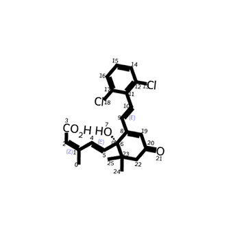 CC(=C/C(=O)O)/C=C/[C@@]1(O)C(/C=C/c2c(Cl)cccc2Cl)=CC(=O)CC1(C)C